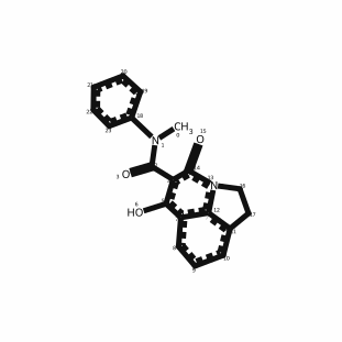 CN(C(=O)c1c(O)c2cccc3c2n(c1=O)CC3)c1ccccc1